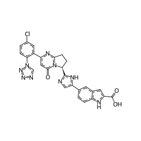 O=C(O)c1cc2cc(-c3cnc([C@@H]4CCc5nc(-c6cc(Cl)ccc6-n6cnnn6)cc(=O)n54)[nH]3)ccc2[nH]1